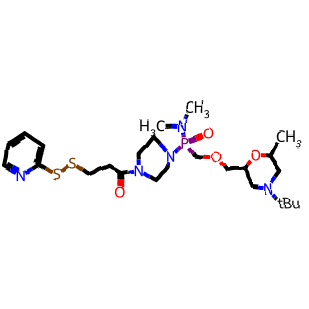 CC1CN(C(C)(C)C)CC(COCP(=O)(N(C)C)N2CCN(C(=O)CCSSc3ccccn3)CC2)O1